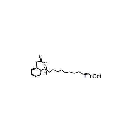 CCCCCCCC/C=C/CCCCCCCCNc1ccccc1CC(=O)Cl